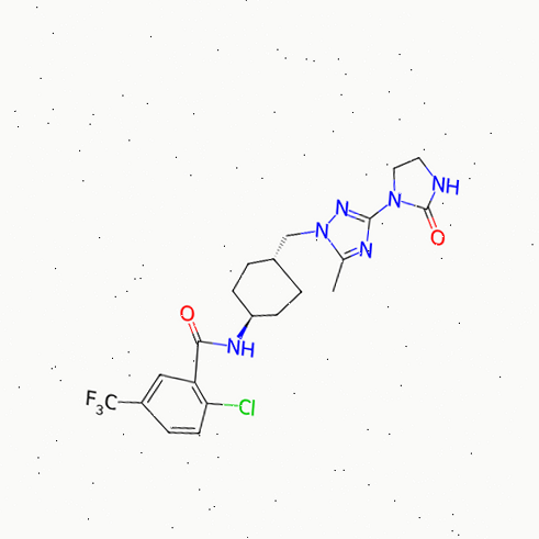 Cc1nc(N2CCNC2=O)nn1C[C@H]1CC[C@H](NC(=O)c2cc(C(F)(F)F)ccc2Cl)CC1